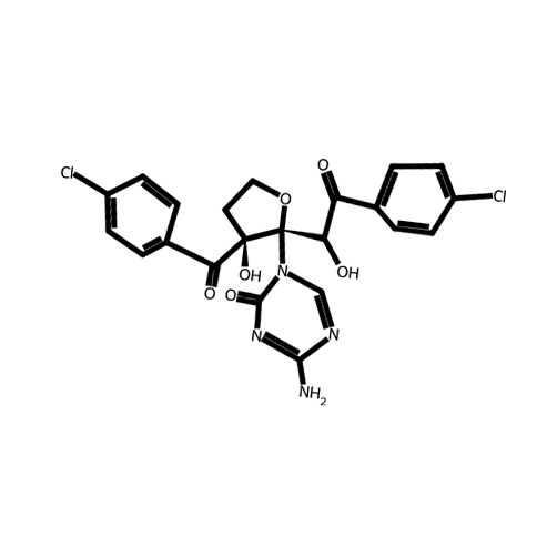 Nc1ncn([C@@]2(C(O)C(=O)c3ccc(Cl)cc3)OCC[C@@]2(O)C(=O)c2ccc(Cl)cc2)c(=O)n1